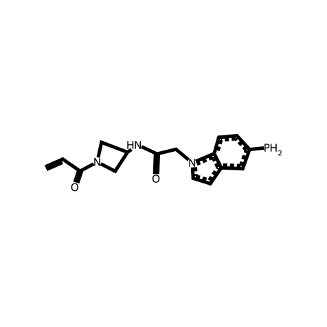 C=CC(=O)N1CC(NC(=O)Cn2ccc3cc(P)ccc32)C1